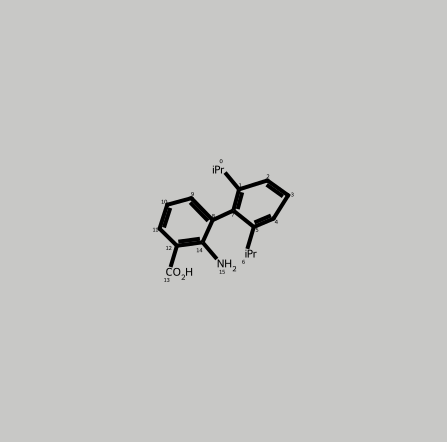 CC(C)c1cccc(C(C)C)c1-c1cccc(C(=O)O)c1N